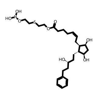 O=C(CCC/C=C\C[C@@H]1[C@@H](CC[C@@H](O)CCc2ccccc2)[C@H](O)C[C@@H]1O)OCCSCCON(O)O